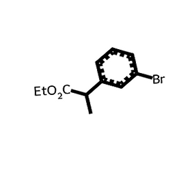 CCOC(=O)C(C)c1cccc(Br)c1